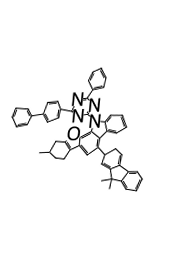 CC1CCc2c(oc3c2cc(C2C=C4C(=CC2)c2ccccc2C4(C)C)c2c4ccccc4n(-c4nc(-c5ccccc5)nc(-c5ccc(-c6ccccc6)cc5)n4)c32)C1